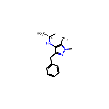 C[C@H](Nc1c(Cc2ccccc2)nn(C)c1[N+](=O)[O-])C(=O)O